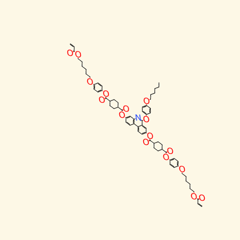 C=CC(=O)OCCCCCCOc1ccc(OC(=O)C2CCC(C(=O)Oc3ccc4c(c3)nc(Oc3ccc(OCCCCCC)cc3)c3cc(OC(=O)C5CCC(C(=O)Oc6ccc(OCCCCCCOC(=O)C=C)cc6)CC5)ccc34)CC2)cc1